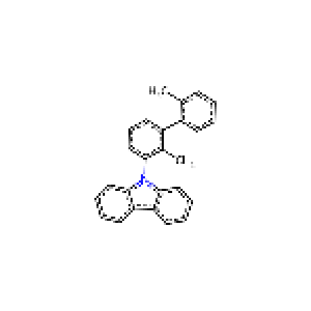 Cc1ccccc1-c1cccc(-n2c3ccccc3c3ccccc32)c1C